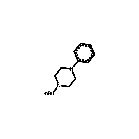 CCC[CH]N1CCN(c2ccccc2)CC1